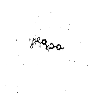 NC(OC=O)C(=O)Nc1cccc(-c2cnc3cc(-c4ccc(F)cc4)ccn23)c1